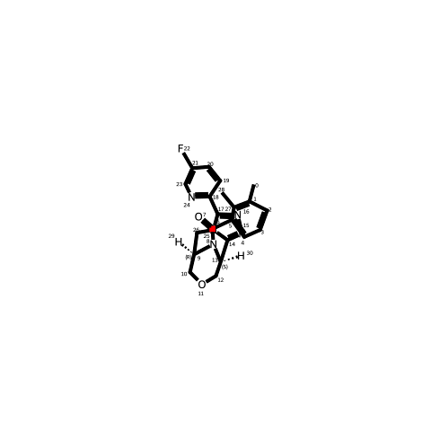 Cc1cccc(C(=O)N2[C@H]3COC[C@@H]2c2nnc(-c4ccc(F)cn4)n2C3)c1C